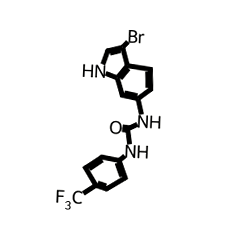 O=C(Nc1ccc(C(F)(F)F)cc1)Nc1ccc2c(Br)c[nH]c2c1